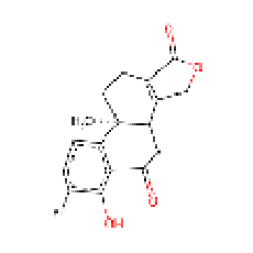 CC(C)c1ccc2c(c1O)C(=O)CC1C3=C(CC[C@]21C)C(=O)OC3